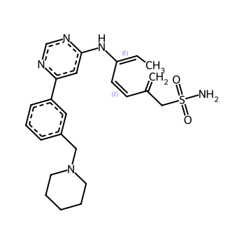 C=C(/C=C\C(=C/C)Nc1cc(-c2cccc(CN3CCCCC3)c2)ncn1)CS(N)(=O)=O